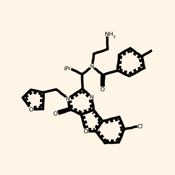 Cc1ccc(C(=O)N(CCN)C(c2nc3c(oc4ccc(Cl)cc43)c(=O)n2Cc2ccoc2)C(C)C)cc1